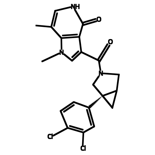 Cc1c[nH]c(=O)c2c(C(=O)N3CC4C[C@@]4(c4ccc(Cl)c(Cl)c4)C3)cn(C)c12